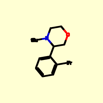 CC(C)c1ccccc1C1COCCN1C(C)(C)C